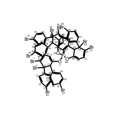 O=P(OC1=CC=C(Br)C(Br)(c2ccc(Br)cc2)C1c1ccc(Br)cc1)(OC1=CC=C(Br)C(Br)(c2ccc(Br)cc2)C1c1ccc(Br)cc1)OC1=CC=C(Br)C(Br)(c2ccc(Br)cc2)C1c1ccc(Br)cc1